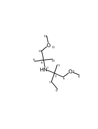 CCC(C)(COC)NC(C)(C)COC